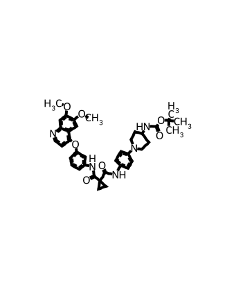 COc1cc2nccc(Oc3cccc(NC(=O)C4(C(=O)Nc5ccc(N6CCC(NC(=O)OC(C)(C)C)CC6)cc5)CC4)c3)c2cc1OC